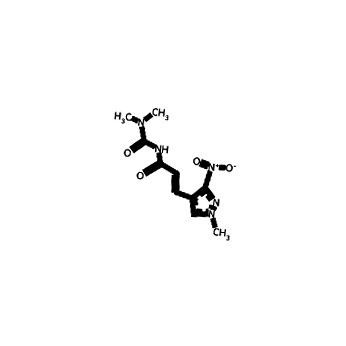 CN(C)C(=O)NC(=O)C=Cc1cn(C)nc1[N+](=O)[O-]